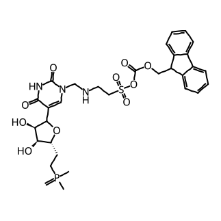 C=P(C)(C)CC[C@H]1OC(c2cn(CNCCS(=O)(=O)OC(=O)OCC3c4ccccc4-c4ccccc43)c(=O)[nH]c2=O)[C@H](O)[C@@H]1O